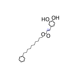 O=C(/C=C/c1ccc(O)c(O)c1)OCCCCCCCCCCc1ccccc1